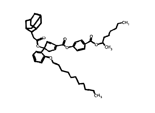 CCCCCCCCCCCOc1ccccc1C1(OC(=O)CC2C3CC4CC(C3)CC2C4)C=CC(C(=O)Oc2ccc(C(=O)OC(C)CCCCCC)cc2)=CC1